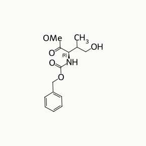 COC(=O)[C@H](NC(=O)OCc1ccccc1)C(C)CO